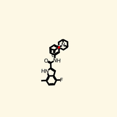 CC(=O)N1CC2CC(C1)N2c1cccc(NC(=O)c2cc3c(F)ccc(C)c3[nH]2)c1